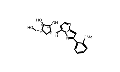 COc1ccccc1-c1cc2nccc(N[C@@H]3C[C@H](CO)[C@@H](O)[C@H]3O)n2n1